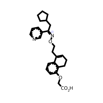 O=C(O)COc1cccc2c1CCC=C2CCO/N=C(/CC1CCCC1)c1cccnc1